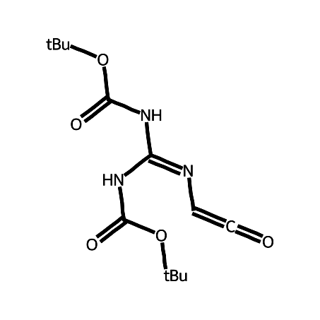 CC(C)(C)OC(=O)NC(=NC=C=O)NC(=O)OC(C)(C)C